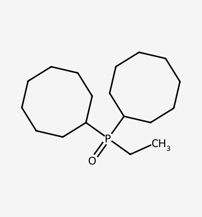 CCP(=O)(C1CCCCCCC1)C1CCCCCCC1